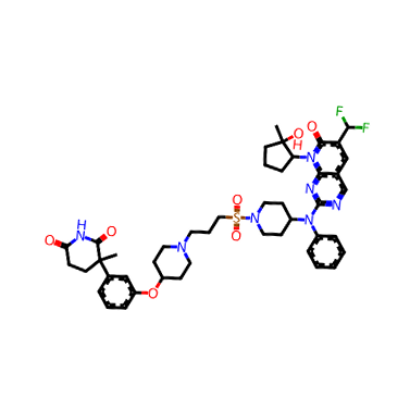 CC1(c2cccc(OC3CCN(CCCS(=O)(=O)N4CCC(N(c5ccccc5)c5ncc6cc(C(F)F)c(=O)n(C7CCCC7(C)O)c6n5)CC4)CC3)c2)CCC(=O)NC1=O